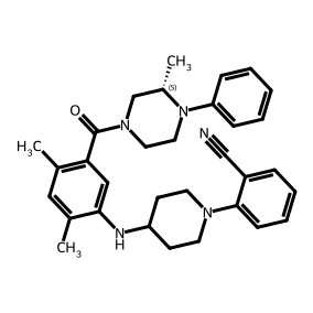 Cc1cc(C)c(C(=O)N2CCN(c3ccccc3)[C@@H](C)C2)cc1NC1CCN(c2ccccc2C#N)CC1